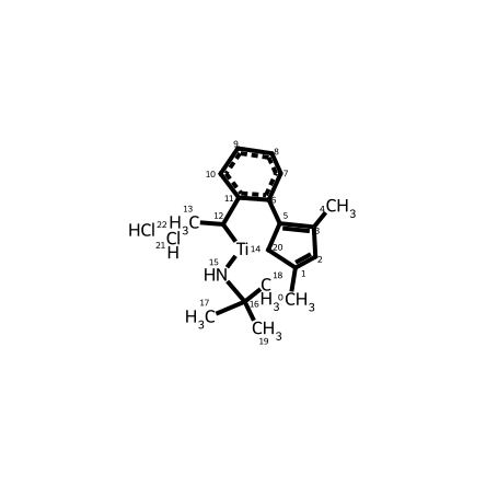 CC1=CC(C)=C(c2ccccc2[CH](C)[Ti][NH]C(C)(C)C)C1.Cl.Cl